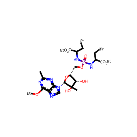 CCOC(=O)C(CC(C)C)NP(=O)(NC(CC(C)C)C(=O)OCC)OC[C@H]1O[C@@H](n2cnc3c(OCC)nc(C)nc32)C(C)(O)[C@H]1O